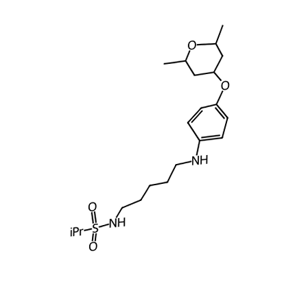 CC1CC(Oc2ccc(NCCCCCNS(=O)(=O)C(C)C)cc2)CC(C)O1